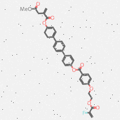 C=C(F)C(=O)OCCOc1ccc(C(=O)Oc2ccc(-c3ccc(C4=CC=C(OC(=O)C(=C)CC(=O)OC)CC4)cc3)cc2)cc1